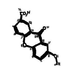 CCOc1ccc2oc3ccc(C(=O)O)cc3c(=O)c2c1